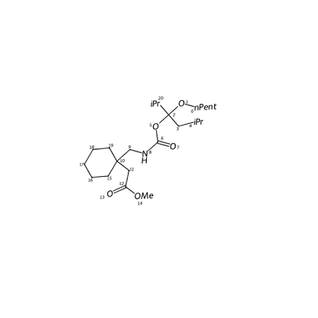 CCCCCOC(CC(C)C)(OC(=O)NCC1(CC(=O)OC)CCCCC1)C(C)C